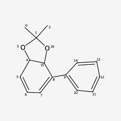 CC1(C)OC2C=CC=C(c3ccccc3)C2O1